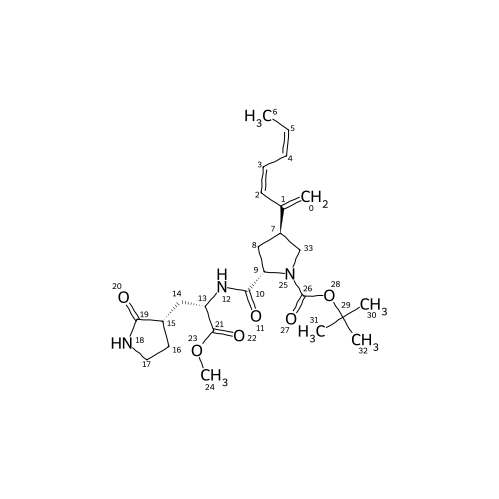 C=C(/C=C\C=C/C)[C@@H]1C[C@@H](C(=O)N[C@@H](C[C@@H]2CCNC2=O)C(=O)OC)N(C(=O)OC(C)(C)C)C1